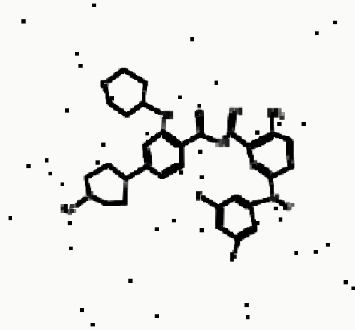 CN1CCC(c2ccc(C(=O)NC(=N)c3nc([S+]([O-])c4cc(F)cc(F)c4)ccc3N)c(NC3CCOCC3)c2)CC1